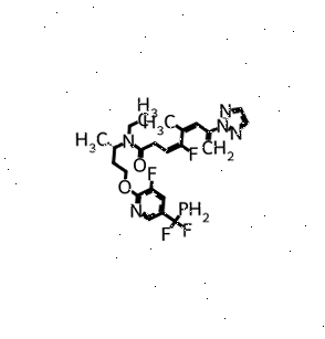 C=C(/C=C(C)\C(F)=C/CC(=O)N(CC)[C@@H](C)CCOc1ncc(C(F)(F)P)cc1F)n1nccn1